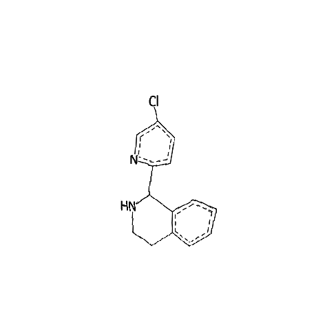 Clc1ccc(C2NCCc3ccccc32)nc1